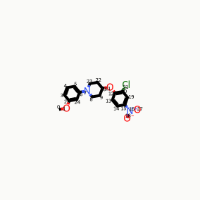 COc1cccc(N2CCC(Oc3ccc([N+](=O)[O-])cc3Cl)CC2)c1